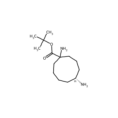 CC(C)(C)OC(=O)C1(N)CCCC[C@@H](N)CCC1